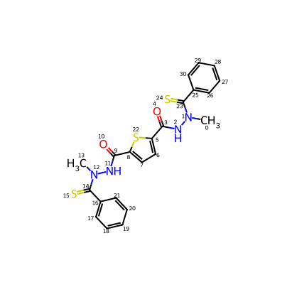 CN(NC(=O)c1ccc(C(=O)NN(C)C(=S)c2ccccc2)s1)C(=S)c1ccccc1